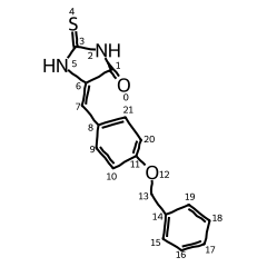 O=C1NC(=S)N/C1=C/c1ccc(OCc2ccccc2)cc1